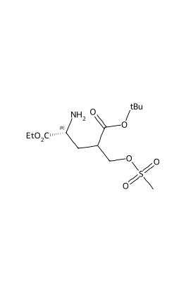 CCOC(=O)[C@H](N)CC(COS(C)(=O)=O)C(=O)OC(C)(C)C